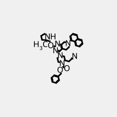 CC1(COc2nc3c(c(N4CCN(C(=O)OCc5ccccc5)C(CC#N)C4)n2)CCN(c2cccc4ccccc24)C3)CCCN1